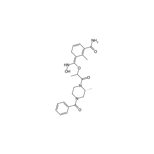 CC1=C(C(N)=O)C=CCC1=C(NO)OC(C)C(=O)N1CCN(C(=O)c2ccccc2)C[C@H]1C